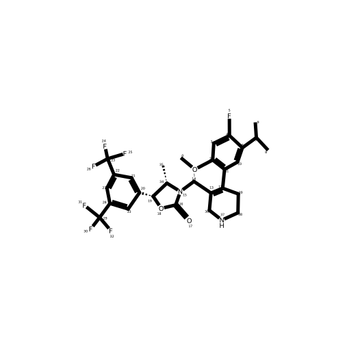 COc1cc(F)c(C(C)C)cc1C1=C(CN2C(=O)O[C@H](c3cc(C(F)(F)F)cc(C(F)(F)F)c3)[C@@H]2C)CNCC1